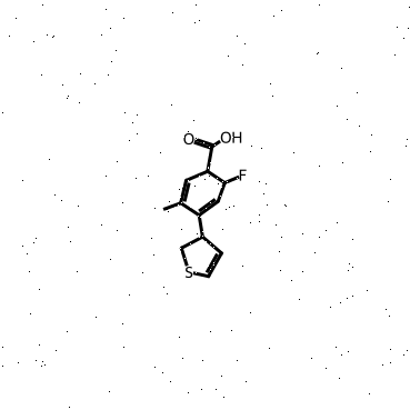 CC1=CC(C(=O)O)C(F)C=C1C1C=CSC1